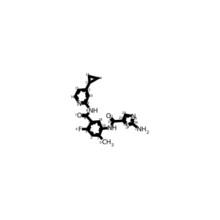 Cc1cc(F)c(C(=O)Nc2cc(C3CC3)ccn2)cc1NC(=O)c1cnc(N)s1